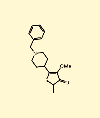 COC1=C(C2CCN(Cc3ccccc3)CC2)SC(C)C1=O